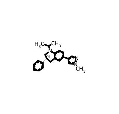 CC(C)N1C[C@@H](c2ccccc2)Cc2cc(-c3cnn(C)c3)ccc21